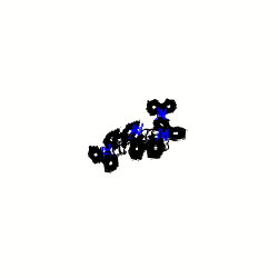 Cc1c(-c2cccc(-n3c4ccccc4c4cc(-n5c6ccccc6c6ccccc65)ccc43)c2C)cccc1-c1nccc(-c2cccc(-n3c4ccccc4c4ccccc43)c2C)c1C